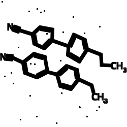 CCCc1ccc(-c2ccc(C#N)cc2)cc1.CCc1ccc(-c2ccc(C#N)cc2)cc1